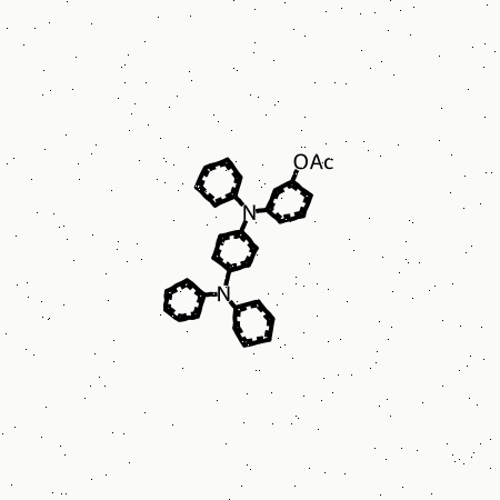 CC(=O)Oc1cccc(N(c2ccccc2)c2ccc(N(c3ccccc3)c3ccccc3)cc2)c1